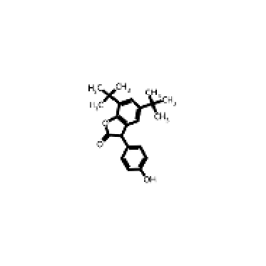 CC(C)(C)c1cc2c(c(C(C)(C)C)c1)OC(=O)C2c1ccc(O)cc1